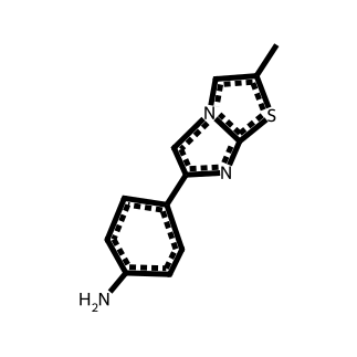 Cc1cn2cc(-c3ccc(N)cc3)nc2s1